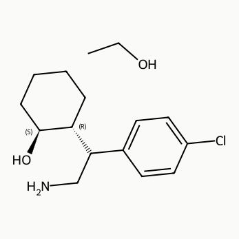 CCO.NCC(c1ccc(Cl)cc1)[C@H]1CCCC[C@@H]1O